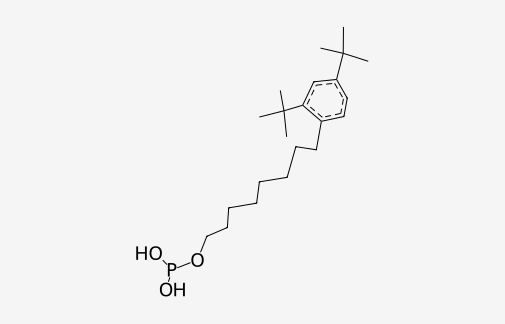 CC(C)(C)c1ccc(CCCCCCCCOP(O)O)c(C(C)(C)C)c1